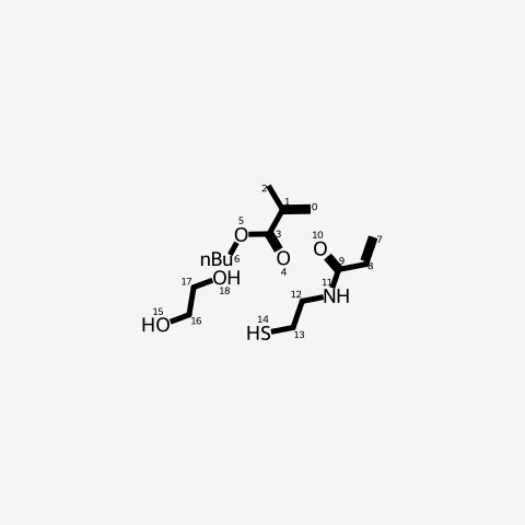 C=C(C)C(=O)OCCCC.C=CC(=O)NCCS.OCCO